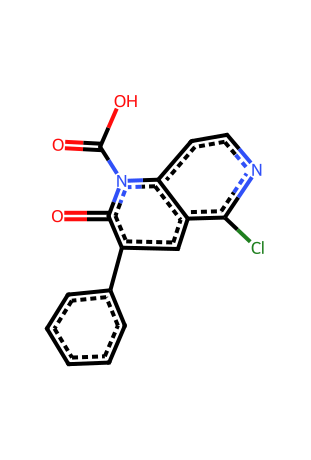 O=C(O)n1c(=O)c(-c2ccccc2)cc2c(Cl)nccc21